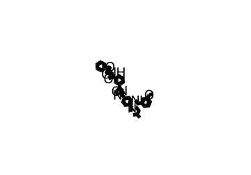 COc1cccc(CNc2cc(-c3noc(-c4cccc(C(=O)NS(=O)(=O)c5ccccc5)c4)n3)ccc2N(C)CCC(C)C)c1